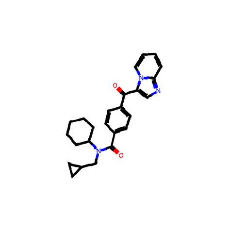 O=C(c1ccc(C(=O)N(CC2CC2)C2CCCCC2)cc1)c1cnc2ccccn12